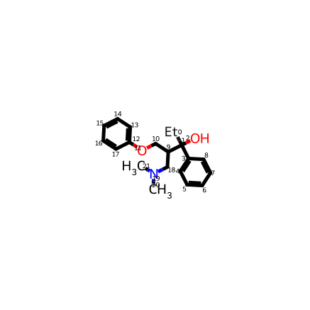 CCC(O)(c1ccccc1)C(COc1ccccc1)CN(C)C